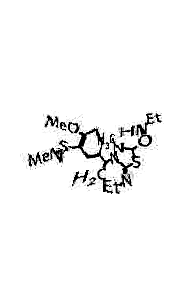 C=C(c1ccc(OC)c(SNC)c1)N1/C(=N\CC)SC(ONCC)N1C